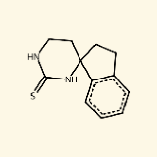 S=C1NCCC2(CCc3ccccc32)N1